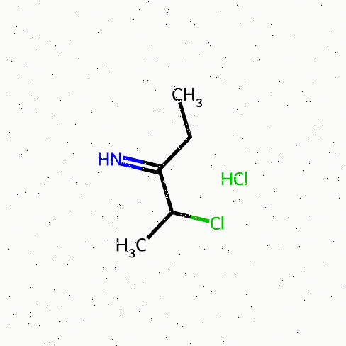 CCC(=N)C(C)Cl.Cl